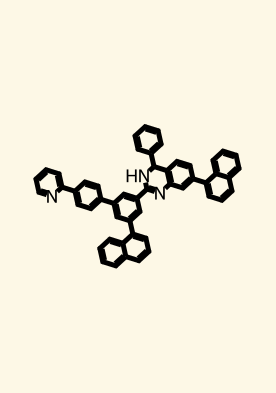 c1ccc(C2NC(c3cc(-c4ccc(-c5ccccn5)cc4)cc(-c4cccc5ccccc45)c3)=Nc3cc(-c4cccc5ccccc45)ccc32)cc1